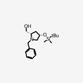 CC(C)(C)[Si](C)(C)O[C@H]1C[C@@H](CO)N(Cc2ccccc2)C1